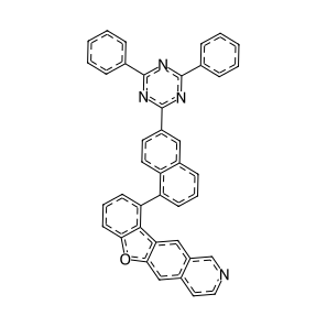 c1ccc(-c2nc(-c3ccccc3)nc(-c3ccc4c(-c5cccc6oc7cc8ccncc8cc7c56)cccc4c3)n2)cc1